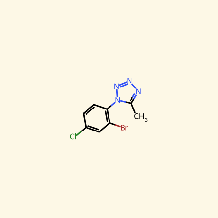 Cc1nnnn1-c1ccc(Cl)cc1Br